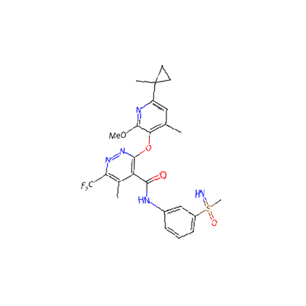 COc1nc(C2(C)CC2)cc(C)c1Oc1nnc(C(F)(F)F)c(C)c1C(=O)Nc1cccc(S(C)(=N)=O)c1